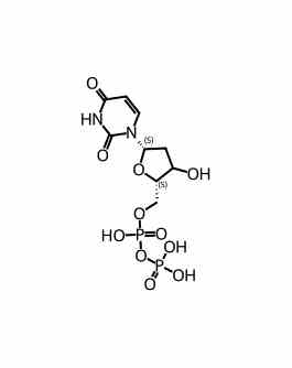 O=c1ccn([C@@H]2CC(O)[C@H](COP(=O)(O)OP(=O)(O)O)O2)c(=O)[nH]1